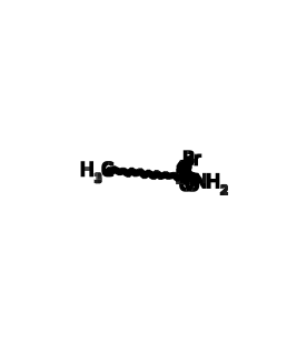 CCCCCCCCCCCCCCCCCCN1C(=O)C(CC(N)=O)c2cc(Br)ccc21